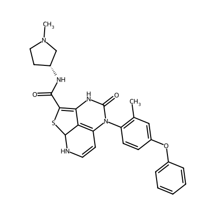 Cc1cc(Oc2ccccc2)ccc1N1C(=O)NC2=C(C(=O)N[C@@H]3CCN(C)C3)SC3NC=CC1=C23